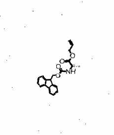 C=CCOC(=O)[C@H](C)NC(=O)OCC1c2ccccc2-c2ccccc21